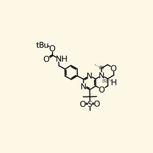 C[C@@H]1COC[C@H]2COc3c(nc(-c4ccc(CNC(=O)OC(C)(C)C)cc4)nc3C(C)(C)S(C)(=O)=O)N21